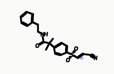 CC(C)(C(=O)NCCc1ccccc1)c1ccc(S(=O)(=O)/C=C/C#N)cc1